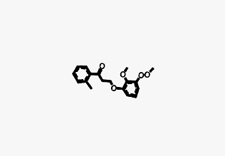 COOc1cccc(OCCC(=O)c2ccccc2C)c1OC